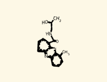 Cc1cccc2nc3cccc(C(=O)NCC(C)O)c3nc12